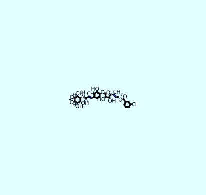 C/C(=C\c1ccc(O[C@H]2O[C@@H](/C(C)=C/COC(=O)c3cccc(Cl)c3)[C@@H](O)[C@@H]2O)c(O)c1)C(=O)N[C@@H]1[C@H](O)[C@@H](O)[C@H]2OCO[C@H]2[C@@H]1O